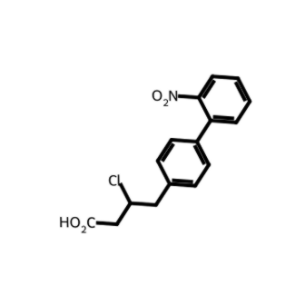 O=C(O)CC(Cl)Cc1ccc(-c2ccccc2[N+](=O)[O-])cc1